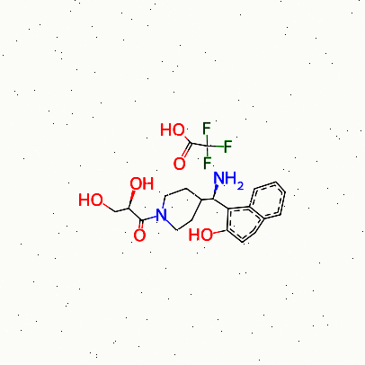 N[C@@H](c1c(O)ccc2ccccc12)C1CCN(C(=O)[C@H](O)CO)CC1.O=C(O)C(F)(F)F